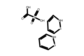 C1=CNSC=C1.C1=CNSC=C1.O=C(O)S(=O)(=O)O